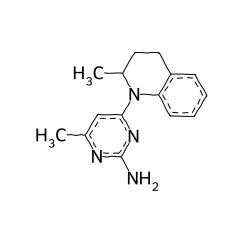 Cc1cc(N2c3ccccc3CCC2C)nc(N)n1